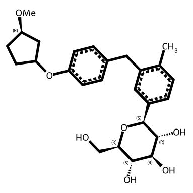 CO[C@@H]1CCC(Oc2ccc(Cc3cc([C@@H]4O[C@H](CO)[C@@H](O)[C@H](O)[C@H]4O)ccc3C)cc2)C1